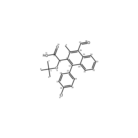 Cc1c(C(OC(C)(C)C)C(=O)O)c(-c2ccc(Cl)cc2)c2ccccc2c1C=O